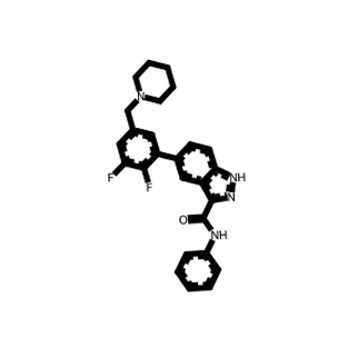 O=C(Nc1ccccc1)c1n[nH]c2ccc(-c3cc(CN4CCCCC4)cc(F)c3F)cc12